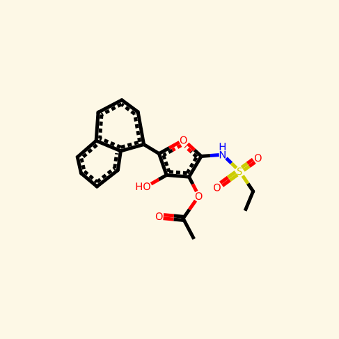 CCS(=O)(=O)Nc1oc(-c2cccc3ccccc23)c(O)c1OC(C)=O